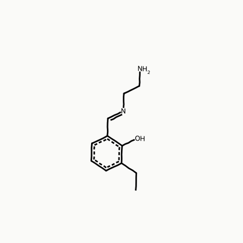 CCc1cccc(C=NCCN)c1O